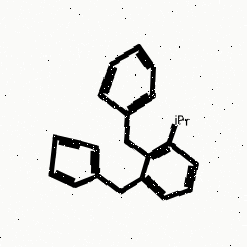 CC(C)c1cccc(Cc2ccccc2)c1Cc1ccccc1